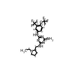 CCN1CCCC1CNc1nc(N)nc(Nc2ccc(OC(F)(F)F)c(C(F)(F)F)c2)n1